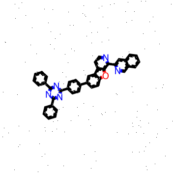 c1ccc(-c2nc(-c3ccccc3)nc(-c3ccc(-c4ccc5oc6c(-c7cc8ccccc8cn7)nccc6c5c4)cc3)n2)cc1